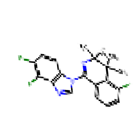 CC1(C)N=C(n2cnc3c(F)c(F)ccc32)c2cccc(F)c2C1(C)C